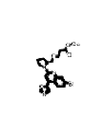 CC(C)(C)OC(=O)CCOC[C@@H]1CCCN1c1cc(-c2cnco2)c2ccc(Br)cc2n1